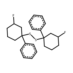 FC1CCCC(SSC2(c3ccccc3)CCCC(F)C2)(c2ccccc2)C1